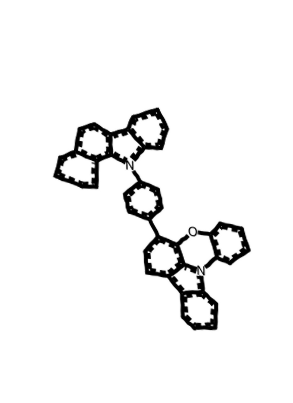 c1ccc2c(c1)Oc1c(-c3ccc(-n4c5ccccc5c5ccc6ccccc6c54)cc3)ccc3c4ccccc4n-2c13